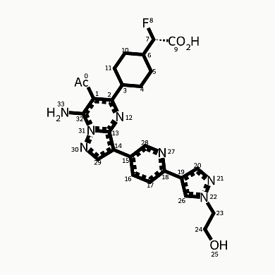 CC(=O)c1c(C2CCC([C@H](F)C(=O)O)CC2)nc2c(-c3ccc(-c4cnn(CCO)c4)nc3)cnn2c1N